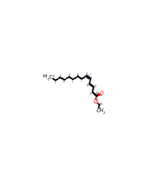 CCCCCCCC/C=C\CCCC(=O)OCC